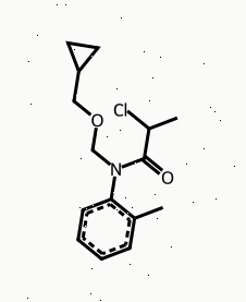 Cc1ccccc1N(COCC1CC1)C(=O)C(C)Cl